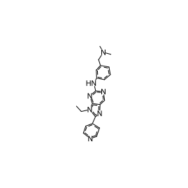 CCn1c(-c2ccncc2)nc2cnc(Nc3cccc(CN(C)C)c3)nc21